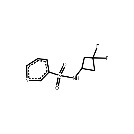 O=S(=O)(NC1CC(F)(F)C1)c1cccnc1